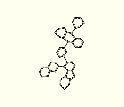 c1ccc(-c2c3ccccc3c(-c3cccc(-c4ccc5oc6ccccc6c5c4-c4ccc5ccccc5c4)c3)c3ccccc23)cc1